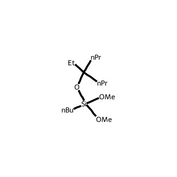 CCCC[Si](OC)(OC)OC(CC)(CCC)CCC